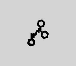 C(CP(C1CCCCC1)C1CCCCC1)=Nc1ccccc1